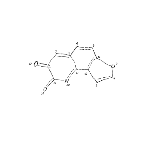 O=C1C=c2ccc3occc3c2=NC1=O